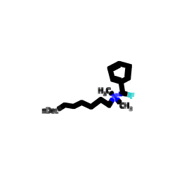 CCCCCCCCCCCCCCCC[N+](C)(C)C(F)c1ccccc1